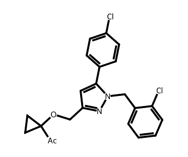 CC(=O)C1(OCc2cc(-c3ccc(Cl)cc3)n(Cc3ccccc3Cl)n2)CC1